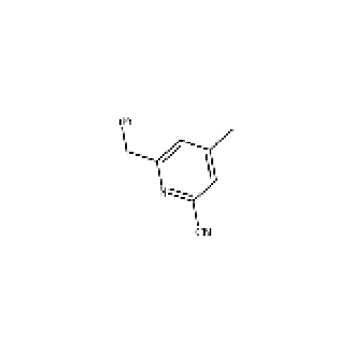 Cc1cc(C#N)nc(CC(C)C)c1